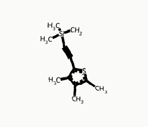 Cc1sc(C#C[Si](C)(C)C)c(C)c1C